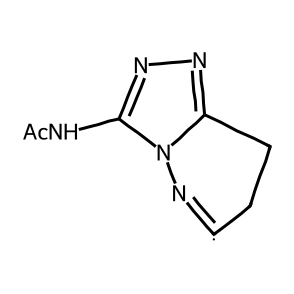 CC(=O)Nc1nnc2n1N=[C]CC2